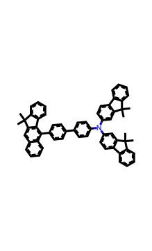 CC1(C)c2ccccc2-c2ccc(N(c3ccc(-c4ccc(-c5c6c(cc7ccccc57)C(C)(C)c5ccccc5-6)cc4)cc3)c3ccc4c(c3)C(C)(C)c3ccccc3-4)cc21